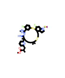 CN/C1=N\C(=N)C(C)(c2cccc(CC(C)C(=O)OC)n2)CCCC(C)(C)CSCCc2c(c(F)cc3c2ccn3SI)Sc2ccc(F)c1c2